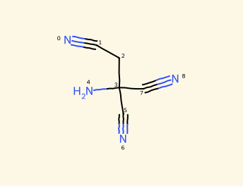 N#CCC(N)(C#N)C#N